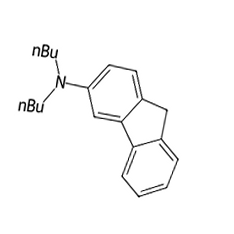 CCCCN(CCCC)c1ccc2c(c1)-c1ccccc1C2